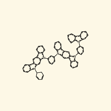 C1=CCC(n2c3ccccc3c3cc4c5ccccc5n(-c5cccc(-n6c7ccccc7c7cc8c(cc76)c6ccccc6n8-c6cccc(-n7c8ccccc8c8ccccc87)c6)c5)c4cc32)C=C1